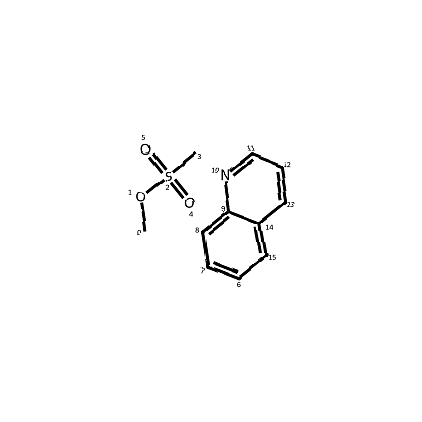 COS(C)(=O)=O.c1ccc2ncccc2c1